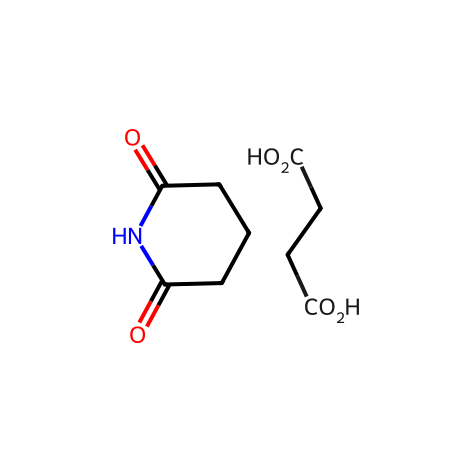 O=C(O)CCC(=O)O.O=C1CCCC(=O)N1